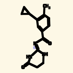 Cc1ccc(C(=O)/N=C2\NCCC(=O)N2)cc1C1CC1